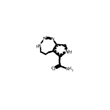 NC(=O)c1[nH]cc2c1CCNN=N2